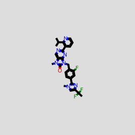 CC(C)c1ncccc1-c1ncc2c(n1)n(Cc1ccc(-c3nc(C(C)(F)F)cn3C)cc1F)c(=O)n2C